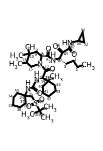 CCCC[C@H](NC(=O)[C@@H]1CC(C)(C)C(C)CN1C(=O)[C@@H](NC(=O)NC1(CS(=O)(=O)C(C)(C)C)CCCCC1)C1(C)CCCCC1)C(=O)C(=O)NC1CC1